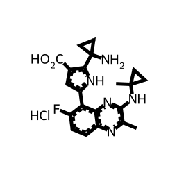 Cc1nc2ccc(F)c(-c3cc(C(=O)O)c(C4(N)CC4)[nH]3)c2nc1NC1(C)CC1.Cl